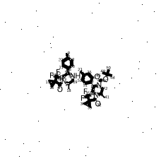 Cc1ccc(C2CN(C(=O)C3(C(F)(F)F)CC3)[C@H](C)CN2)cc1.Cc1ccc([C@H]2CN(C(=O)C3(C(F)(F)F)CC3)[C@H](C)CN2C(=O)OC(C)(C)C)cc1